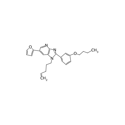 C=CCCCn1c(-c2cccc(OCCCC)c2)nc2ncc(-c3ccco3)cc21